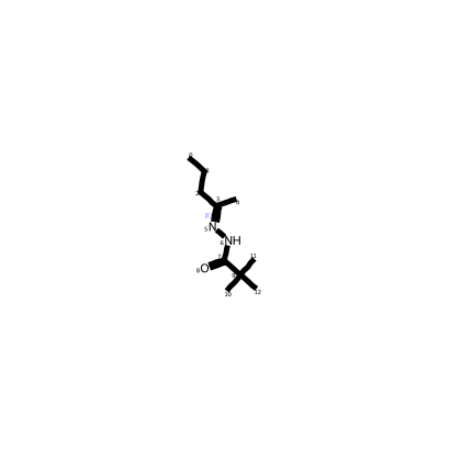 CCC/C(C)=N/NC(=O)C(C)(C)C